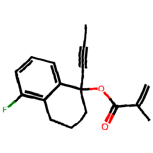 C=C(C)C(=O)OC1(C#CC)CCCc2c(F)cccc21